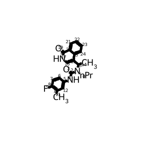 CCCN(C(=O)Nc1ccc(F)c(C)c1)C(C)c1c[nH]c(=O)c2ccccc12